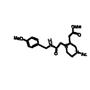 COC(=O)CC1CN(C(C)=O)CCN1CC(=O)NCc1ccc(OC)cc1